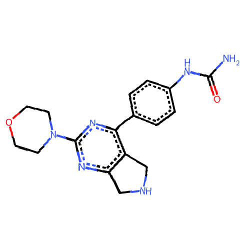 NC(=O)Nc1ccc(-c2nc(N3CCOCC3)nc3c2CNC3)cc1